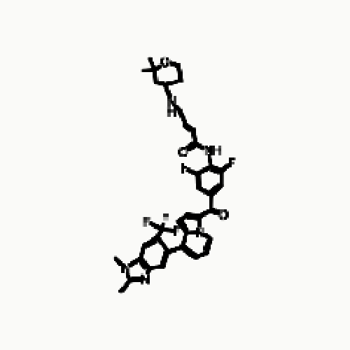 Cc1nc2cc(-c3cccn4c(C(=O)c5cc(F)c(NC(=O)/C=C/CNC6CCOC(C)(C)C6)c(F)c5)ccc34)c(C(F)(F)F)cc2n1C